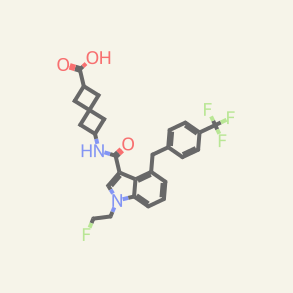 O=C(NC1CC2(C1)CC(C(=O)O)C2)c1cn(CCF)c2cccc(Cc3ccc(C(F)(F)F)cc3)c12